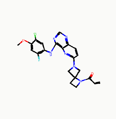 C=CC(=O)N1CCC12CN(c1ccc3ncnc(Nc4cc(Cl)c(OC)cc4F)c3n1)C2